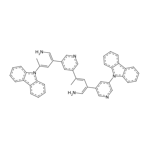 C/C(=C\C(=C/N)c1cncc(-n2c3ccccc3c3ccccc32)c1)c1cncc(C(=C/N)/C=C(\C)n2c3ccccc3c3ccccc32)c1